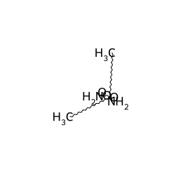 CCCCCCCCCCCCCCCCCCC(CCCCCCCCCCCCCCCCCC)(OCC(N)=O)C(N)=O